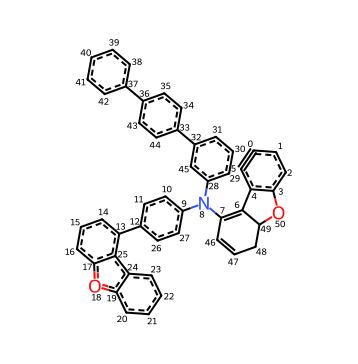 c1ccc2c(c#1)C1=C(N(c3ccc(-c4cccc5oc6ccccc6c45)cc3)c3cccc(-c4ccc(-c5ccccc5)cc4)c3)C=CCC1O2